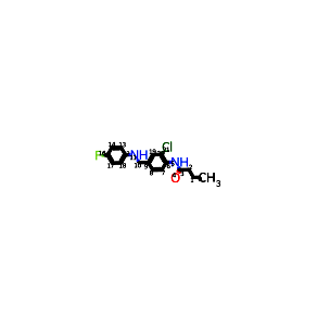 CCCC(=O)Nc1ccc(CNc2ccc(F)cc2)cc1Cl